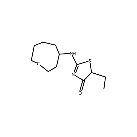 CCC1SC(NC2CCCCCCC2)=NC1=O